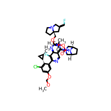 COCOc1cc(Cl)c([C@@H]2C[C@@H]2C)c(-c2ncc3c(N4C[C@H]5CC[C@@H](C4)N5C(=O)OC(C)(C)C)nc(OC[C@@]45CCCN4C/C(=C\F)C5)nc3c2F)c1